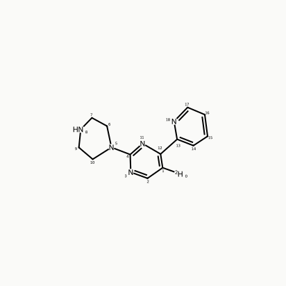 [2H]c1cnc(N2CCNCC2)nc1-c1ccccn1